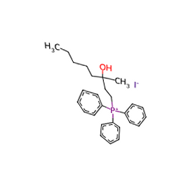 CCCCCC(C)(O)CC[P+](c1ccccc1)(c1ccccc1)c1ccccc1.[I-]